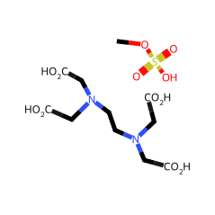 COS(=O)(=O)O.O=C(O)CN(CCN(CC(=O)O)CC(=O)O)CC(=O)O